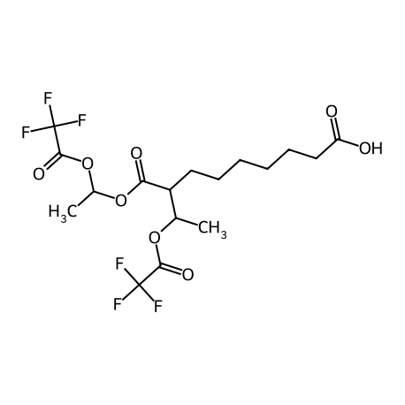 CC(OC(=O)C(CCCCCCC(=O)O)C(C)OC(=O)C(F)(F)F)OC(=O)C(F)(F)F